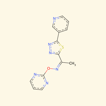 CC(=NOc1ncccn1)c1nnc(-c2cccnc2)s1